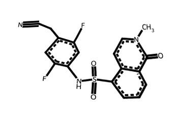 Cn1ccc2c(S(=O)(=O)Nc3cc(F)c(CC#N)cc3F)cccc2c1=O